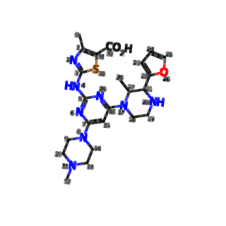 Cc1nc(Nc2nc(N3CCN(C)CC3)cc(N3CCNC(c4ccco4)C3C)n2)sc1C(=O)O